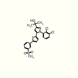 CC(C)(O)c1cc(-c2ccc(-c3cccc(S(C)(=O)=O)c3)s2)n(-c2cccc(Cl)c2Cl)n1